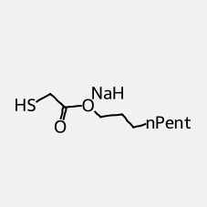 CCCCCCCCOC(=O)CS.[NaH]